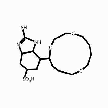 O=S(=O)(O)C1CC2N=C(S)NC2C(C2CCCCCCCCCCCC2)C1